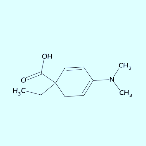 CCC1(C(=O)O)C=CC(N(C)C)=CC1